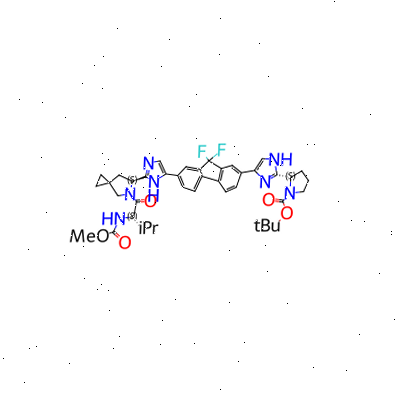 COC(=O)N[C@H](C(=O)N1CC2(CC2)C[C@H]1c1ncc(-c2ccc3c(c2)C(F)(F)c2cc(-c4c[nH]c([C@@H]5CCCN5C(=O)OC(C)(C)C)n4)ccc2-3)[nH]1)C(C)C